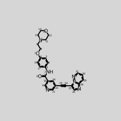 O=C(Nc1ccc(OCCN2CCOCC2)cc1)c1cncc(C#Cc2cnc3cccnn23)c1